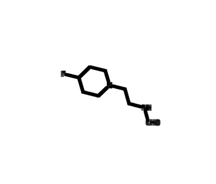 O=CNCCN1CCC(F)CC1